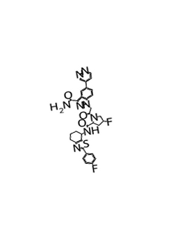 NC(=O)c1nn(CC(=O)N2CC(F)CC2C(=O)NC2CCCc3nc(-c4ccc(F)cc4)sc32)c2ccc(-c3ccnnc3)cc12